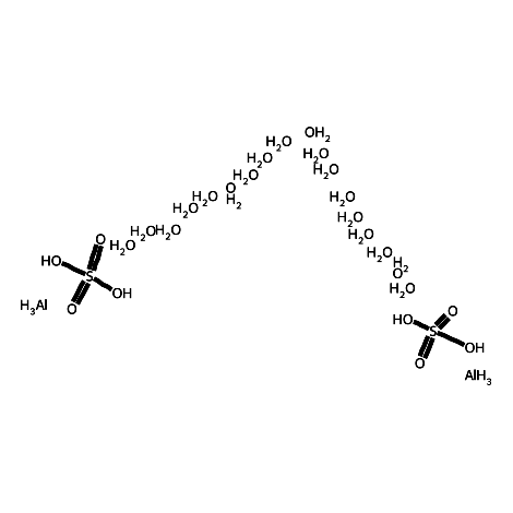 O.O.O.O.O.O.O.O.O.O.O.O.O.O.O.O.O.O.O=S(=O)(O)O.O=S(=O)(O)O.[AlH3].[AlH3]